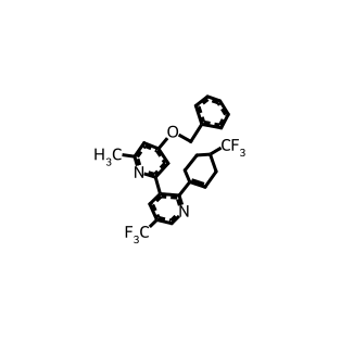 Cc1cc(OCc2ccccc2)cc(-c2cc(C(F)(F)F)cnc2C2=CCC(C(F)(F)F)CC2)n1